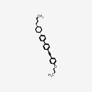 C=CCC[C@H]1CC[C@H](c2ccc(-c3ccc(C#Cc4ccc(OCCC)cc4)cc3)cc2)CC1